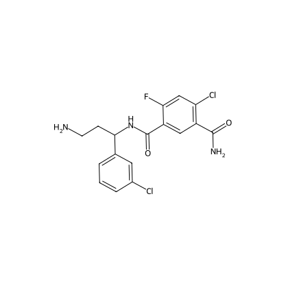 NCCC(NC(=O)c1cc(C(N)=O)c(Cl)cc1F)c1cccc(Cl)c1